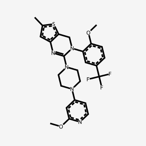 COc1cc(N2CCN(C3=Nc4cc(C)sc4CN3c3cc(C(F)(F)F)ccc3OC)CC2)ccn1